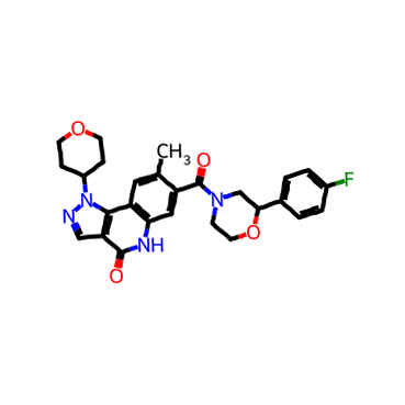 Cc1cc2c(cc1C(=O)N1CCOC(c3ccc(F)cc3)C1)[nH]c(=O)c1cnn(C3CCOCC3)c12